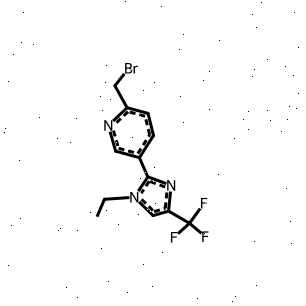 CCn1cc(C(F)(F)F)nc1-c1ccc(CBr)nc1